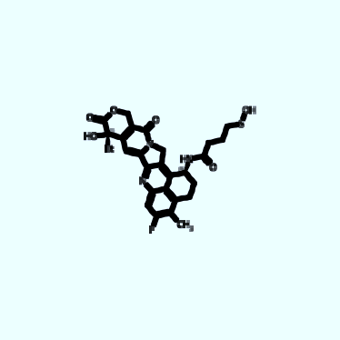 CC[C@@]1(O)C(=O)OCc2c1cc1n(c2=O)Cc2c-1nc1cc(F)c(C)c3c1c2[C@@H](NC(=O)CCCSO)CC3